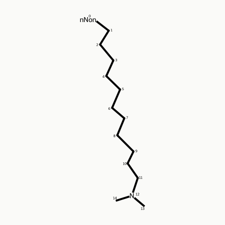 [CH2]CCCCCCCCCCCCCCCCCCCN(C)C